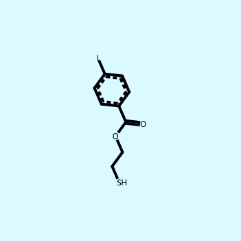 O=C(OCCS)c1ccc(I)cc1